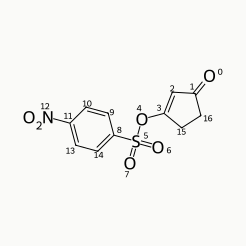 O=C1C=C(OS(=O)(=O)c2ccc([N+](=O)[O-])cc2)CC1